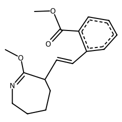 COC(=O)c1ccccc1C=CC1CCCCN=C1OC